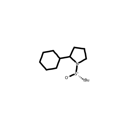 CC(C)(C)[S@+]([O-])N1CCCC1C1CCCCC1